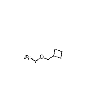 CC(C)[CH]OCC1CCC1